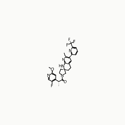 COc1cc([C@@H](C)C(=O)N2CC[C@@]3(CCc4cc(-c5cccc(C(F)(F)F)n5)c(C)nc4N3)C2)c(F)cn1